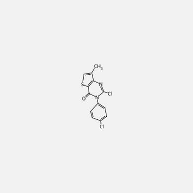 Cc1csc2c(=O)n(-c3ccc(Cl)cc3)c(Cl)nc12